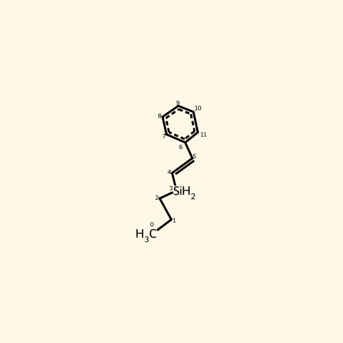 CCC[SiH2]C=Cc1ccccc1